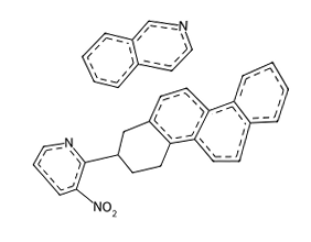 O=[N+]([O-])c1cccnc1C1CCc2c(ccc3c2ccc2ccccc23)C1.c1ccc2cnccc2c1